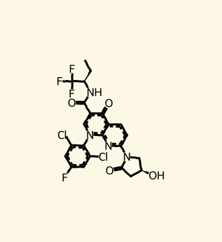 CC[C@@H](NC(=O)c1cn(-c2c(Cl)cc(F)cc2Cl)c2nc(N3C[C@@H](O)CC3=O)ccc2c1=O)C(F)(F)F